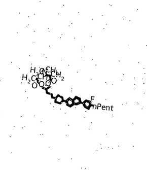 C=C(C)C(=O)OCC(CCCC1CCC(c2ccc3cc(-c4ccc(CCCCC)c(F)c4)ccc3c2)CC1)COC(=O)C(=C)CN(C)C